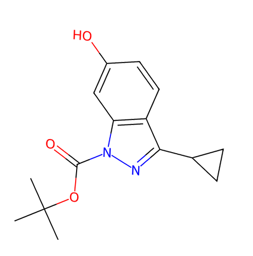 CC(C)(C)OC(=O)n1nc(C2CC2)c2ccc(O)cc21